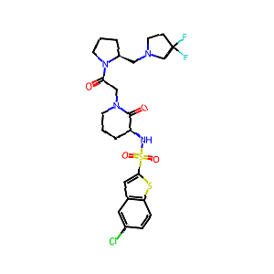 O=C1[C@@H](NS(=O)(=O)c2cc3cc(Cl)ccc3s2)CCCN1CC(=O)N1CCC[C@H]1CN1CCC(F)(F)C1